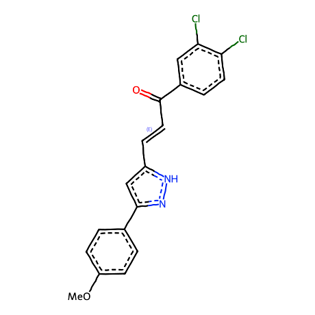 COc1ccc(-c2cc(/C=C/C(=O)c3ccc(Cl)c(Cl)c3)[nH]n2)cc1